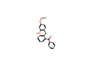 CCCCCCCCOc1ccc(Cc2ccccc2C(=O)c2ccccc2)c(O)c1